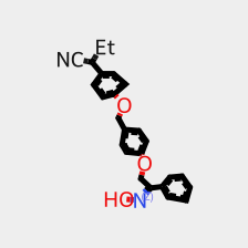 CCC(C#N)c1ccc(OCc2ccc(OC/C(=N\O)c3ccccc3)cc2)cc1